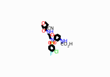 N#CC1(C(=O)NCC2CN(S(=O)(=O)c3ccc(F)c(Cl)c3)c3cc(NC(=O)O)ccc3O2)CCOCC1